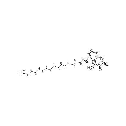 CCCCCCCCCCCCCCCCCSc1cccc2c1=C(O)C(=O)C(=O)N=2